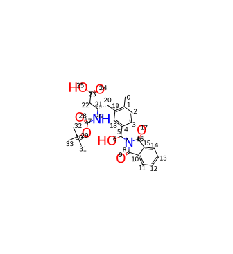 Cc1ccc(C(O)N2C(=O)c3ccccc3C2=O)cc1C[C@@H](CC(=O)O)NC(=O)OC(C)(C)C